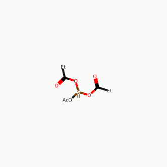 CCC(=O)O[SH](OC(C)=O)OC(=O)CC